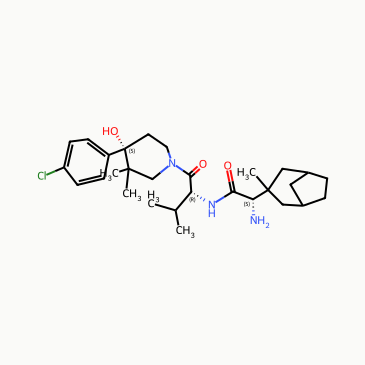 CC(C)[C@@H](NC(=O)[C@@H](N)C1(C)CC2CCC(C2)C1)C(=O)N1CC[C@](O)(c2ccc(Cl)cc2)C(C)(C)C1